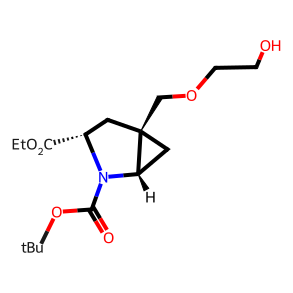 CCOC(=O)[C@@H]1C[C@]2(COCCO)C[C@@H]2N1C(=O)OC(C)(C)C